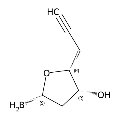 B[C@H]1C[C@@H](O)[C@@H](CC#C)O1